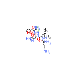 CC(C)C[C@H](NC(=O)[C@@H](N)CCCCN)C(=O)N[C@@H](Cc1c[nH]cn1)C(=O)N1CC(F)(F)C(N)C1(B(O)O)C(=O)c1ccccc1